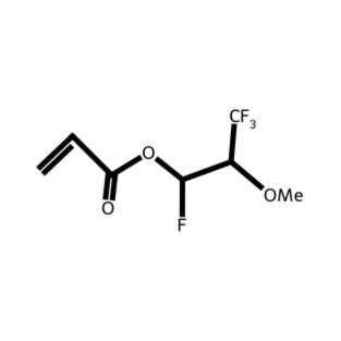 C=CC(=O)OC(F)C(OC)C(F)(F)F